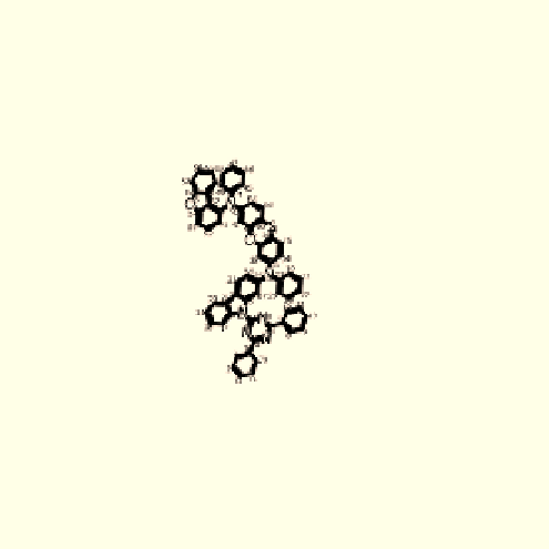 c1ccc(-c2nc(-c3ccccc3)nc(-n3c4ccccc4c4ccc(N(c5ccccc5)c5ccc6c(c5)Oc5cc(N(c7ccccc7)c7cccc8oc9ccccc9c78)ccc5S6)cc43)n2)cc1